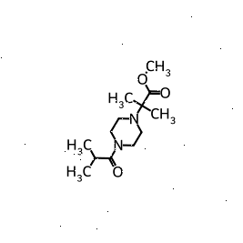 COC(=O)C(C)(C)N1CCN(C(=O)C(C)C)CC1